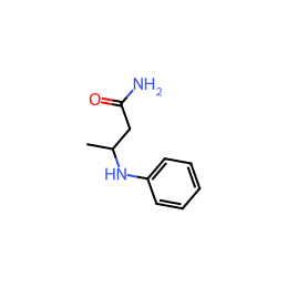 CC(CC(N)=O)Nc1ccccc1